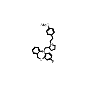 COc1ccc(CCN2CCCC2CN2c3ccccc3COc3cc(F)ccc32)cc1